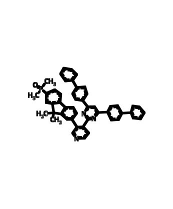 CC1(C)c2cc(-c3cnccc3-c3nc(-c4ccc(-c5ccccc5)cc4)cc(-c4ccc(-c5ccccc5)cc4)n3)ccc2-c2ccc(P(C)(C)=O)cc21